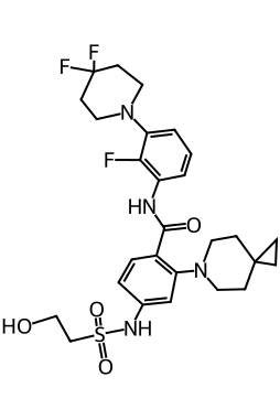 O=C(Nc1cccc(N2CCC(F)(F)CC2)c1F)c1ccc(NS(=O)(=O)CCO)cc1N1CCC2(CC1)CC2